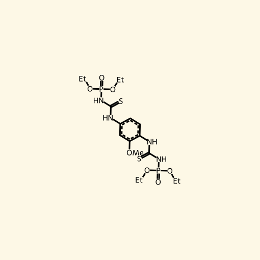 CCOP(=O)(NC(=S)Nc1ccc(NC(=S)NP(=O)(OCC)OCC)c(OC)c1)OCC